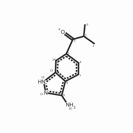 CC(C)C(=O)c1ccc2c(N)n[nH]c2c1